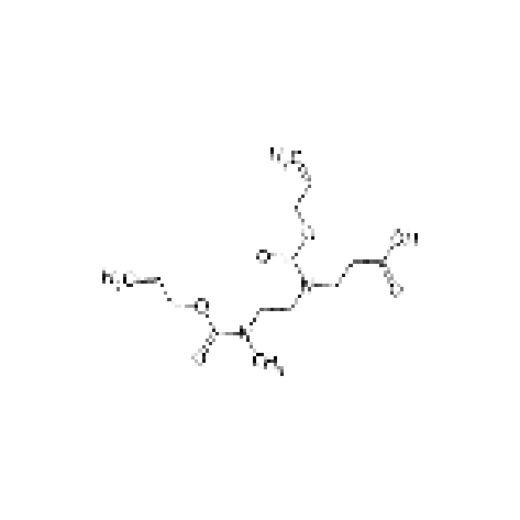 C=CCOC(=O)N(C)CCN(CCC(=O)O)C(=O)OCC=C